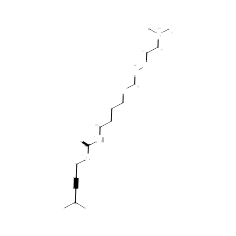 CC(C)C#CCNC(=O)NCCCCOCSSCCN(C)I